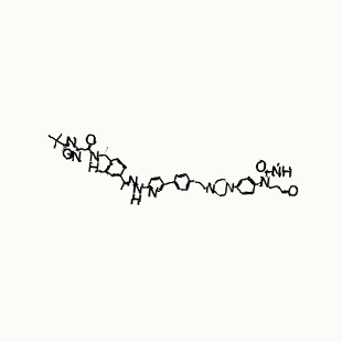 CNC(=O)N(CCC=O)c1ccc(N2CCN(CCc3ccc(-c4ccc(N/N=C(\C)c5ccc([C@@H](C)NC(=O)c6noc(C(C)(C)C)n6)c(C)c5)nc4)cc3)CC2)cc1